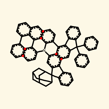 c1ccc(-c2cccc3cccc(-c4ccccc4N(c4ccc5c(c4)C4(c6ccccc6-5)C5CC6CC(C5)CC4C6)c4ccccc4-c4cccc5c4-c4ccccc4C5(c4ccccc4)c4ccccc4)c23)cc1